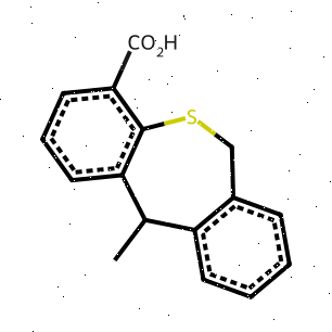 CC1c2ccccc2CSc2c(C(=O)O)cccc21